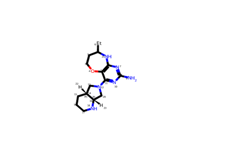 CCC1CCOc2c(nc(N)nc2N2C[C@H]3CCCN[C@H]3C2)N1